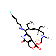 CCC(/C=C/[C@](C)(CC)CN(C)CCO)C(NCC/C=C/F)c1cc2c(c(=O)[nH]1)COC(=O)[C@H]2O